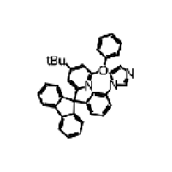 CC(C)(C)c1cc(Oc2ccccc2)nc(C2(c3cccc(-n4ccnc4)c3)c3ccccc3-c3ccccc32)c1